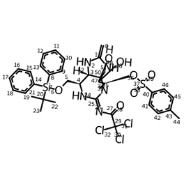 C=C1N[C@H]2[C@H](CO[Si](c3ccccc3)(c3ccccc3)C(C)(C)C)N/C(=N/C(=O)C(Cl)(Cl)Cl)N3C[C@H](OS(=O)(=O)c4ccc(C)cc4)C(O)(O)C23N1